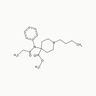 CCCCN1CCC(C(=O)OC)(N(C(=O)CC)c2ccccc2)CC1